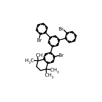 CC1(C)CCC(C)(C)c2cc(-c3cc(-c4ccccc4Br)cc(-c4ccccc4Br)c3)c(Br)cc21